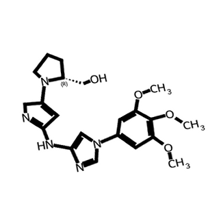 COc1cc(-n2cnc(NC3=NCC(N4CCC[C@@H]4CO)=C3)c2)cc(OC)c1OC